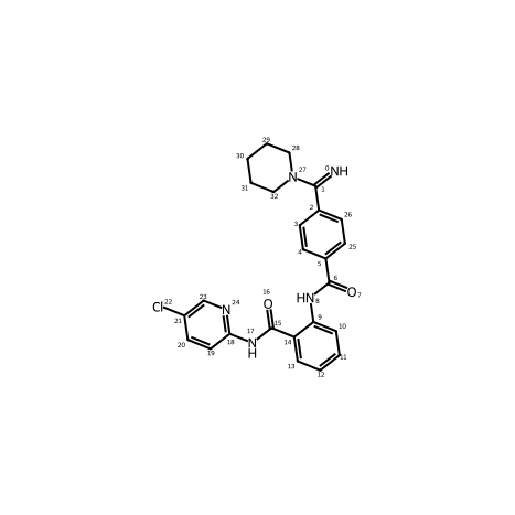 N=C(c1ccc(C(=O)Nc2ccccc2C(=O)Nc2ccc(Cl)cn2)cc1)N1CCCCC1